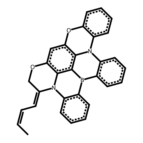 C/C=C\C=C1/COc2cc3c4c5c2N1c1ccccc1B5c1ccccc1N4c1ccccc1O3